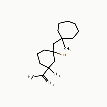 C=C(C)C1(C)CCCC(S)(CC2(C)CCCCCC2)C1